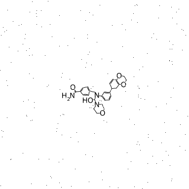 NC(=O)c1ccc(CN(c2cccc(C3C=CC4=C(C3)OCCO4)c2)C(O)N2CCOCC2)cc1